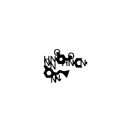 COc1cc(C(=O)NC2CCN(C)CC2)ccc1Nc1ncc2c(n1)-c1c(nn(C)c1CC1CC1)CC2